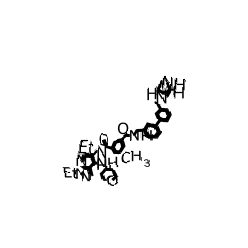 CCc1nc2c(cnn2CC)c(NC2CCOCC2)c1CNC(=O)c1cc(C)cc(C(=O)NCc2cccc(-c3cccc(CN4C[C@@H]5C[C@H]4CN5)c3)c2)c1